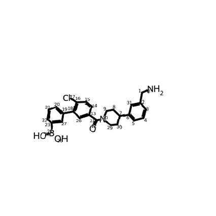 NCc1cccc(C2CCN(C(=O)c3ccc(Cl)c(-c4cccc(B(O)O)c4)c3)CC2)c1